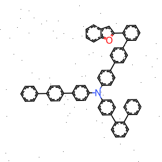 c1ccc(-c2ccc(-c3ccc(N(c4ccc(-c5ccc(-c6ccccc6-c6cc7ccccc7o6)cc5)cc4)c4ccc(-c5ccccc5-c5ccccc5)cc4)cc3)cc2)cc1